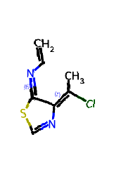 C=C/N=C1/SC=N/C1=C(/C)Cl